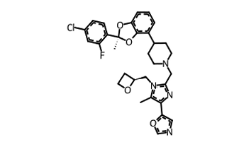 Cc1c(-c2cnco2)nc(CN2CCC(c3cccc4c3O[C@@](C)(c3ccc(Cl)cc3F)O4)CC2)n1C[C@@H]1CCO1